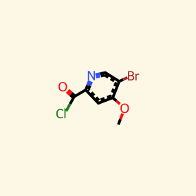 COc1cc(C(=O)Cl)ncc1Br